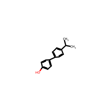 CC(C)c1ccc(-c2ccc(O)cc2)cc1